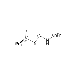 CCCNNC[C@H](C)C(C)C